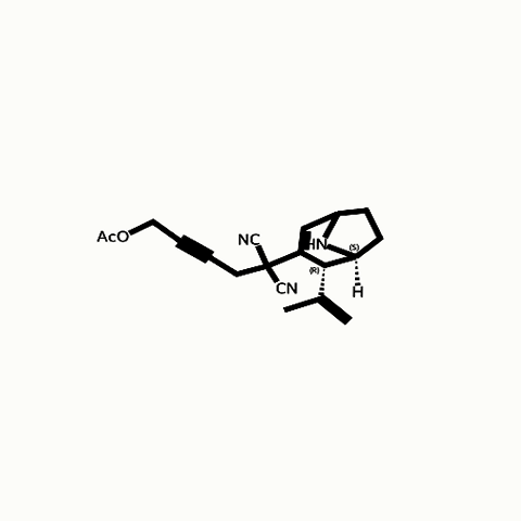 C=C(C)[C@@H]1C(C(C#N)(C#N)CC#CCOC(C)=O)=CC2CC[C@@H]1N2